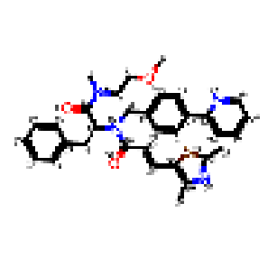 COCCN(C)C(=O)[C@H](Cc1ccccc1)N(Cc1ccc(-c2ccccn2)cc1)C(=O)/C=C/c1sc(C)nc1C